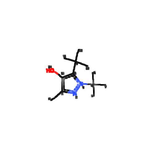 Cc1nn(C(C)(C)C)c(C(C)(C)C)c1O